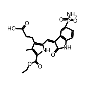 CCOC(=O)c1[nH]c(/C=C2\C(=O)Nc3ccc(S(N)(=O)=O)cc32)c(CCC(=O)O)c1C